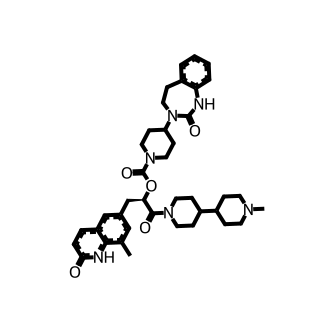 Cc1cc(C[C@@H](OC(=O)N2CCC(N3CCc4ccccc4NC3=O)CC2)C(=O)N2CCC(C3CCN(C)CC3)CC2)cc2ccc(=O)[nH]c12